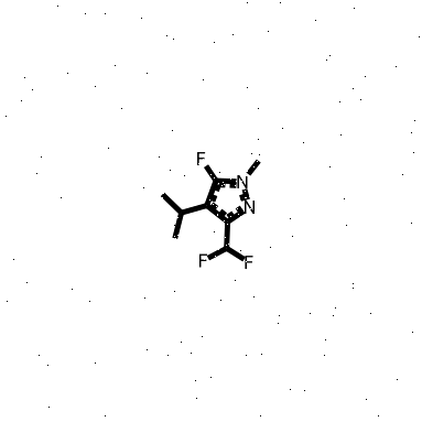 CC(C)c1c(C(F)F)nn(C)c1F